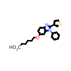 O=C(O)CCCCCOc1ccc2nc(-c3ccsc3)n(-c3ccccc3)c2c1